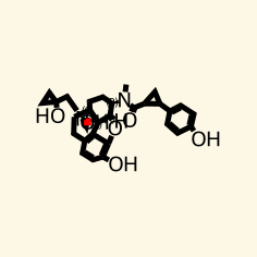 CN(C(=O)C1CC1c1ccc(O)cc1)[C@@H]1CC[C@@]2(O)C3Cc4ccc(O)c5c4[C@@]2(CCN3CC2(O)CC2)[C@H]1O5